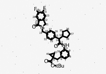 CC(C)(C)OC(=O)C1(Cc2cccc(NC(=O)C(c3ccc(CN4Cc5cc(F)c(F)cc5C4=O)cc3)C3CCCC3)c2)CC1